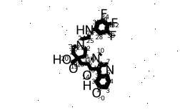 COc1ccc2ncc(N(C)C)c(C(O)CCC3(C(=O)O)CCN(CCNc4cc(F)c(F)c(F)c4)CC3)c2c1